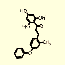 Cc1cc(Oc2ccccc2)ccc1/C=C/C(=O)c1c(O)cc(O)cc1O